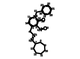 O=Nc1c(CN=NC2CCCCCC2)ccn(Cc2ccccc2)c1=O